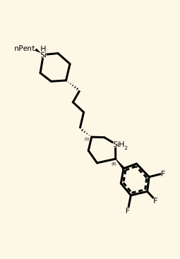 CCCCC[Si@H]1CC[C@H](CCCC[C@H]2CC[C@H](c3cc(F)c(F)c(F)c3)[SiH2]C2)CC1